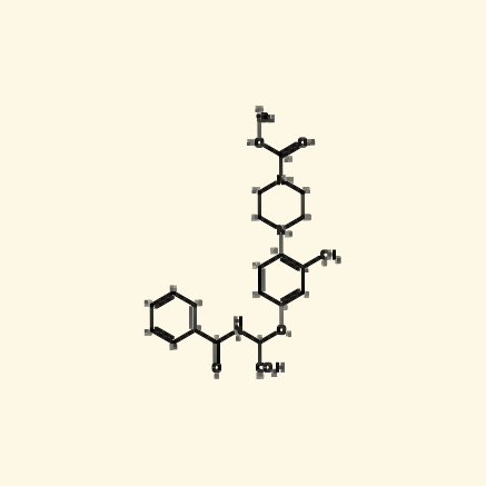 Cc1cc(OC(NC(=O)c2ccccc2)C(=O)O)ccc1N1CCN(C(=O)OC(C)(C)C)CC1